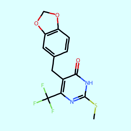 CSc1nc(C(F)(F)F)c(Cc2ccc3c(c2)OCO3)c(=O)[nH]1